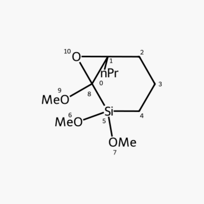 CCCC12CCC[Si](OC)(OC)C1(OC)O2